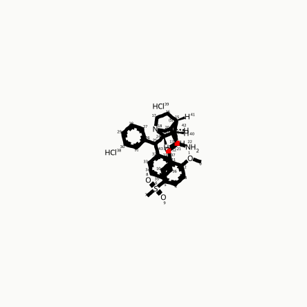 COc1ccc(S(C)(=O)=O)cc1CN[C@H]1[C@H]2CCN(C[C@@H]2C(N)=O)[C@H]1C(c1ccccc1)c1ccccc1.Cl.Cl